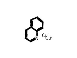 [Cu].[Cu].c1ccc2ncccc2c1